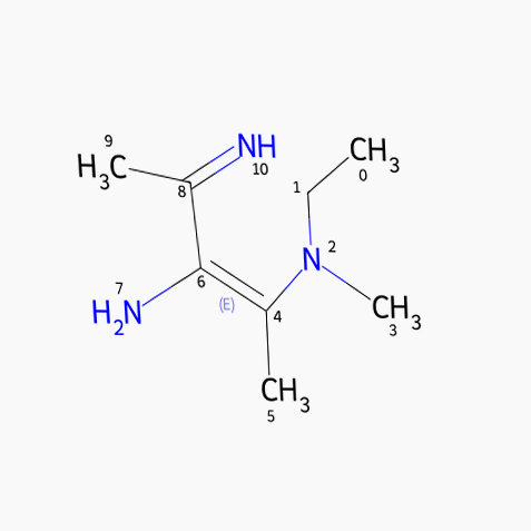 CCN(C)/C(C)=C(/N)C(C)=N